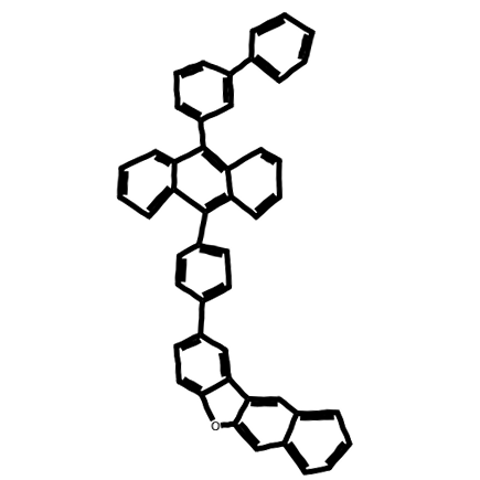 c1ccc(-c2cccc(-c3c4ccccc4c(-c4ccc(-c5ccc6oc7cc8ccccc8cc7c6c5)cc4)c4ccccc34)c2)cc1